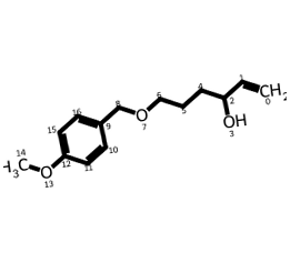 C=CC(O)CCCOCc1ccc(OC)cc1